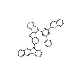 c1ccc(-c2nc(-c3ccc4ccccc4c3)nc(-c3cc4ccccc4c4oc5cc(-n6c7ccccc7c7cc8ccccc8cc76)ccc5c34)n2)cc1